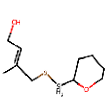 CC(=CCO)CS[SiH2]C1CCCCO1